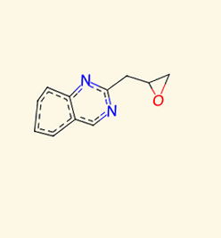 c1ccc2nc(CC3CO3)ncc2c1